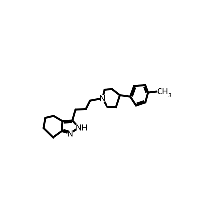 Cc1ccc(C2CCN(CCCc3[nH]nc4c3CCCC4)CC2)cc1